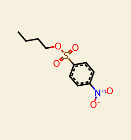 CCCCOS(=O)(=O)c1ccc([N+](=O)[O-])cc1